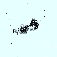 CCN1C(=O)C(C)(C)CN(C)C2=C1C(=O)C=C(OCCCN(CCN1C(=O)CCc3ccc(OC)cc31)Cc1ccncc1)C2